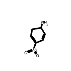 NC1C=CC([SH](=O)=O)=CC1